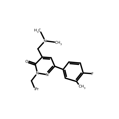 Cc1cc(-c2cc(CN(C)C)c(=O)n(CC(C)C)n2)ccc1F